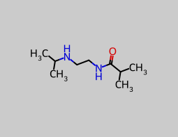 CC(C)NCCNC(=O)C(C)C